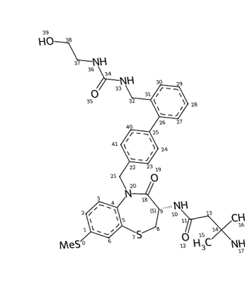 CSc1ccc2c(c1)SC[C@@H](NC(=O)CC(C)(C)N)C(=O)N2Cc1ccc(-c2ccccc2CNC(=O)NCCO)cc1